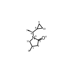 CC1CC(=O)N([C@@H](C)C2CC2)C1